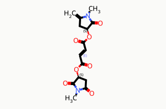 C=C1C[C@H](OC(=O)/C=C/C(=O)O[C@H]2CC(=O)N(C)C2=O)C(=O)N1C